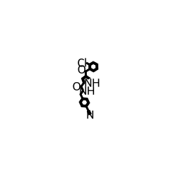 N#Cc1ccc(CNC(=O)c2cc(C(=O)c3ccccc3Cl)c[nH]2)cc1